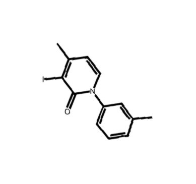 Cc1cccc(-n2ccc(C)c(I)c2=O)c1